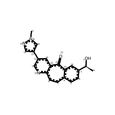 C[C@H](O)c1ccc2ccc3ncc(-c4cnn(C)c4)cc3c(=O)c2c1